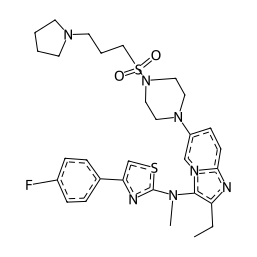 CCc1nc2ccc(N3CCN(S(=O)(=O)CCCN4CCCC4)CC3)cn2c1N(C)c1nc(-c2ccc(F)cc2)cs1